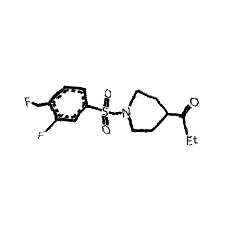 CCC(=O)C1CCN(S(=O)(=O)c2ccc(F)c(F)c2)CC1